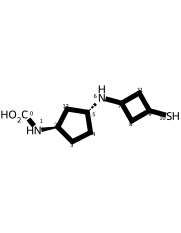 O=C(O)N[C@@H]1CC[C@@H](NC2CC(S)C2)C1